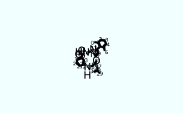 Cc1cccc(C)c1-c1cc2nc(n1)NS(=O)(=O)c1cccc(c1)NC[C@@H](CC(C)C)O2